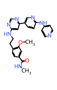 CNC(=O)c1ccc(CCNc2cc(-c3ccc(Nc4ccncc4)nc3)ncn2)c(OC)c1